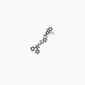 CC1(c2ccccc2)OC(C(=O)Sc2ccc(SC(=O)CCc3nc(-c4ccccc4)c(-c4ccccc4)o3)cc2)=CC1=O